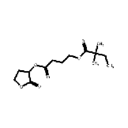 CCC(C)(C)C(=O)OCCCC(=O)OC1CCOC1=O